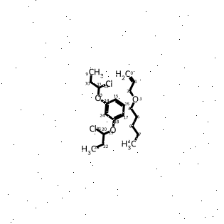 C=CCOCCCCC.CCC(Cl)Oc1cccc(OC(Cl)CC)c1